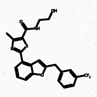 Cc1nc(-c2cccc3oc(Cc4cccc(C(F)(F)F)c4)cc23)sc1C(=O)NCCO